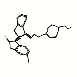 CCCC1CCC(CCC=C2/C(=C3/C(=O)Cc4cc(C)ccc43)Cc3ccccc32)CC1